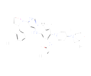 C=CC(=O)Nc1cc(Nc2cc(N3OCC[C@@H]3c3cccc(C)c3F)ncn2)c(OC)cc1N1CCC(N2C[C@H]3C[C@@H]2CO3)CC1